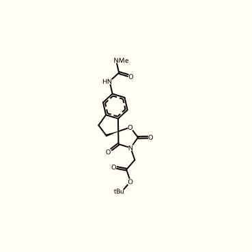 CNC(=O)Nc1ccc2c(c1)CC[C@]21OC(=O)N(CC(=O)OC(C)(C)C)C1=O